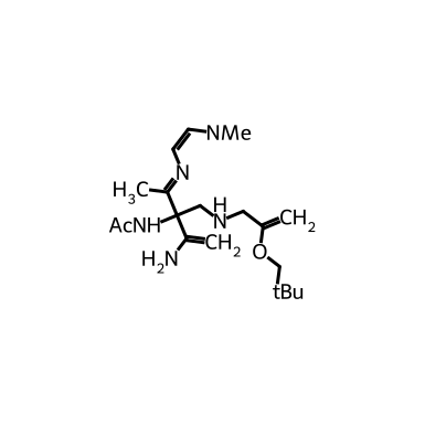 C=C(CNCC(NC(C)=O)(C(=C)N)/C(C)=N/C=C\NC)OCC(C)(C)C